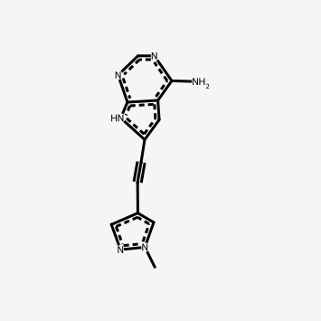 Cn1cc(C#Cc2cc3c(N)ncnc3[nH]2)cn1